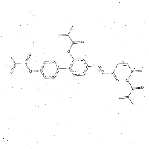 C=C(/C=C\C(=C)OC(=O)C(=C)C)/C=C/c1ccc(-c2ccc(OC(=O)C(=C)C)cc2)c(OC(=O)C(=C)C)c1